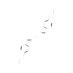 CCOc1ccc2nc(SSc3nc4ccc(OCC)cc4s3)sc2c1